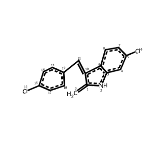 C=c1[nH]c2cc(Cl)ccc2c1=Cc1ccc(Cl)cc1